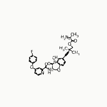 C[C@H](N)C(=O)OCC(C)(C)C#Cc1ccc2c(c1)N(C)C(=O)[C@@H](NC(=O)c1cc(Oc3ccc(F)cc3)ccn1)CO2